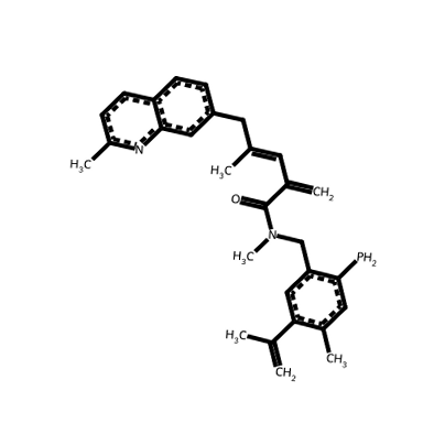 C=C(/C=C(\C)Cc1ccc2ccc(C)nc2c1)C(=O)N(C)Cc1cc(C(=C)C)c(C)cc1P